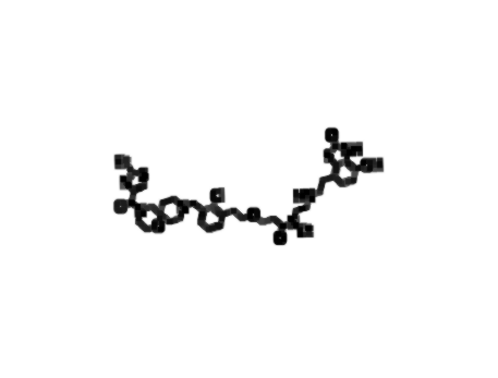 CCc1nc(C(=O)N2CCOC3(CCN(Cc4cccc(CCOCCC(=O)N(CC)CCNCCc5ccc(O)c6[nH]c(=O)sc56)c4Cl)CC3)C2)cs1